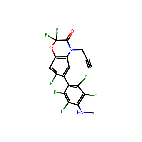 C#CCN1C(=O)C(F)(F)Oc2cc(F)c(-c3c(F)c(F)c(NC)c(F)c3F)cc21